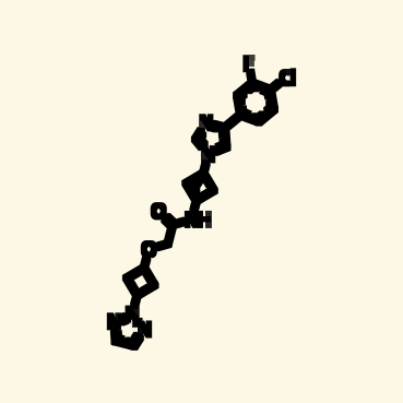 O=C(COC1CC(n2nccn2)C1)NC12CC(n3cnc(-c4ccc(Cl)c(F)c4)c3)(C1)C2